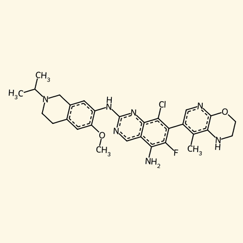 COc1cc2c(cc1Nc1ncc3c(N)c(F)c(-c4cnc5c(c4C)NCCO5)c(Cl)c3n1)CN(C(C)C)CC2